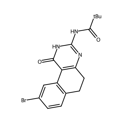 CC(C)(C)C(=O)Nc1nc2c(c(=O)[nH]1)-c1cc(Br)ccc1CC2